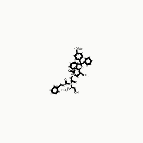 COc1ccc(C(Oc2nc(=O)n(CC(=O)N(C(=O)OCc3ccccc3)[C@@H](CO)C(=O)O)cc2C)(c2ccccc2)c2ccccc2)cc1